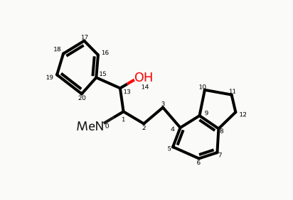 CNC(CCc1cccc2c1CCC2)C(O)c1ccccc1